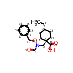 CC[C@H]1CC[C@@](CN(C=O)OCc2ccccc2)(C(=O)O)CC1